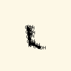 COc1c(NC(=O)c2ccc(NC(=O)c3ccc(NC(=O)[C@H](CC#N)NC(=O)c4ccc(NC(=O)/C(C)=C/c5ccc(O)cc5)cn4)cc3)c(OC)c2O)ccc(C(=O)O)c1O